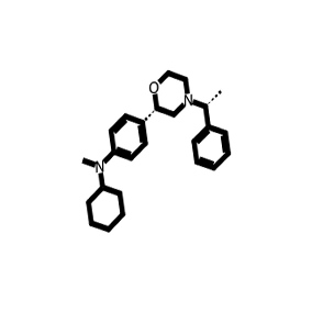 C[C@H](c1ccccc1)N1CCO[C@@H](c2ccc(N(C)C3CCCCC3)cc2)C1